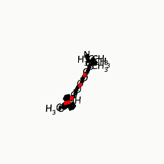 COc1ccc(C(NCCOCCOCCOCCOCCOCCOP(OCCC#N)N(C(C)C)C(C)C)(c2ccccc2)c2ccccc2)cc1